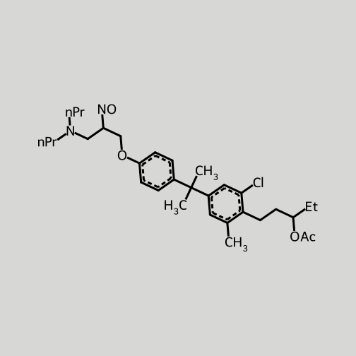 CCCN(CCC)CC(COc1ccc(C(C)(C)c2cc(C)c(CCC(CC)OC(C)=O)c(Cl)c2)cc1)N=O